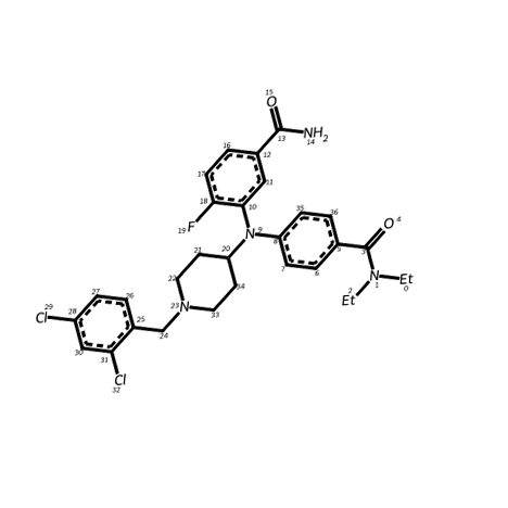 CCN(CC)C(=O)c1ccc(N(c2cc(C(N)=O)ccc2F)C2CCN(Cc3ccc(Cl)cc3Cl)CC2)cc1